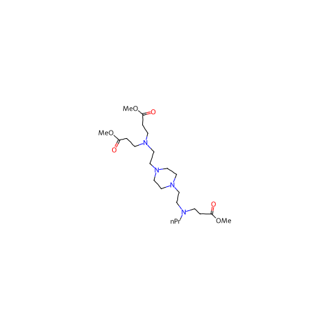 CCCN(CCC(=O)OC)CCN1CCN(CCN(CCC(=O)OC)CCC(=O)OC)CC1